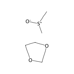 C1COCO1.C[S+](C)[O-]